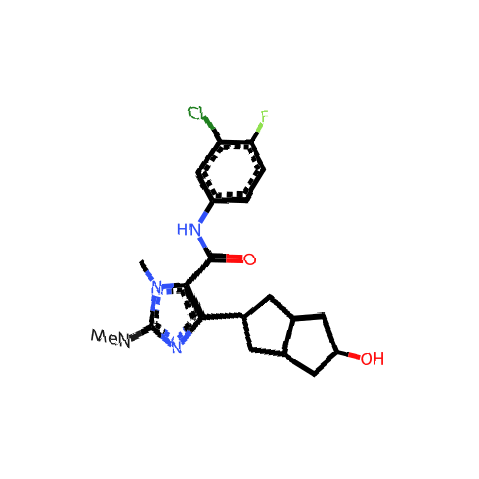 CNc1nc(C2CC3CC(O)CC3C2)c(C(=O)Nc2ccc(F)c(Cl)c2)n1C